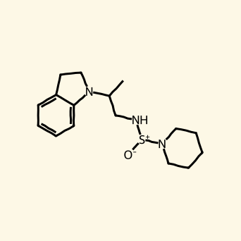 CC(CN[S+]([O-])N1CCCCC1)N1CCc2ccccc21